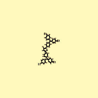 CCc1ccc(N(c2ccc(CC)cc2)c2ccc(-c3cc(C)c(-c4ccc(N(c5ccc(CC)cc5)c5ccc(CC)cc5)cc4)s3)cc2)cc1